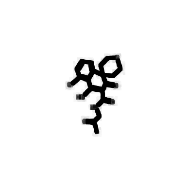 CC(=O)CNC(=O)C1=C(O)c2c(Cl)cccc2C2(CCOCC2)C1=O